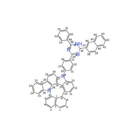 C1=Cc2cccc3c2C(C1)c1cccc2c1c1c(ccc4c5ccccc5n-3c41)n2-c1ccc(C2=NC(c3ccc4ccccc4c3)NC(c3ccccc3)=N2)cc1